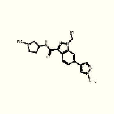 CC(C)Cn1nc(C(=O)NC2CCN(C#N)C2)c2ccc(-c3cnn(C)c3)cc21